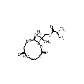 C[C@H](N)C(=O)OCC(C)(C)[C@H]1OC(=O)SCCNC(=O)CCNC1=O